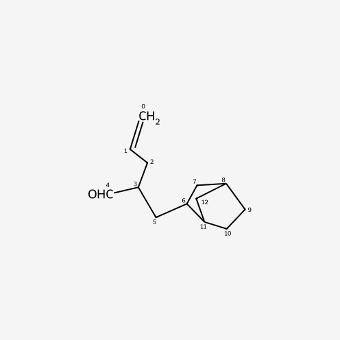 C=CCC(C=O)CC1CC2CCC1C2